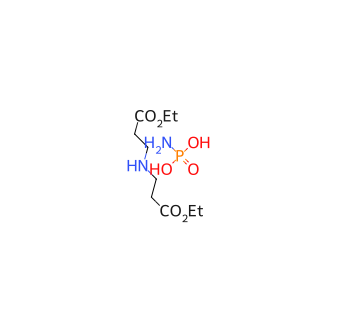 CCOC(=O)CCNCCC(=O)OCC.NP(=O)(O)O